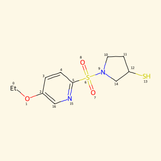 CCOc1ccc(S(=O)(=O)N2CCC(S)C2)nc1